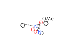 COc1ccccc1O[C@H]1C[C@@H](C(=O)N2CCCC2)N(C(=O)CCCc2ccccc2)C1